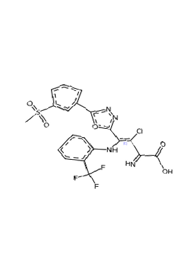 CS(=O)(=O)c1cccc(-c2nnc(/C(Nc3ccccc3C(F)(F)F)=C(\Cl)C(=N)C(=O)O)o2)c1